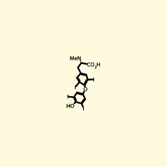 CN[C@@H](Cc1cc(I)c(Oc2cc(I)c(O)c(I)c2)c(I)c1)C(=O)O